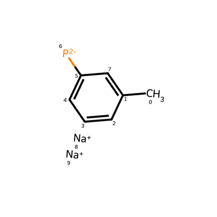 Cc1cccc([P-2])c1.[Na+].[Na+]